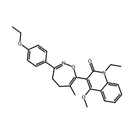 CCOc1ccc(C2=NOC(c3c(OC)c4ccccc4n(CC)c3=O)=C(C)CC2)cc1